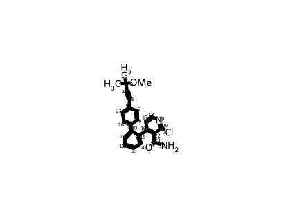 COC(C)(C)C#Cc1ccc(-c2ccccc2-c2ccnc(Cl)c2C(N)=O)cc1